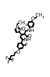 CCOc1ccc(NC(=O)c2c(-c3ccn(CC)n3)cc(-c3ccc(OCCCC(F)(F)F)cc3F)[nH]c2=O)cc1